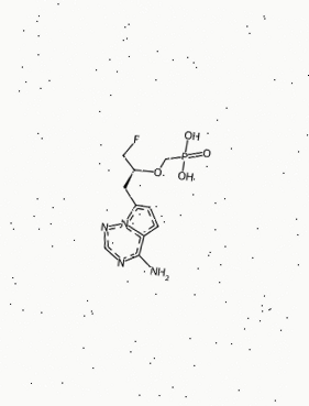 Nc1ncnn2c(C[C@@H](CF)OCP(=O)(O)O)ccc12